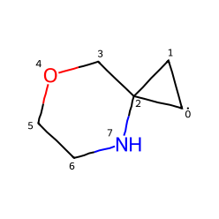 [CH]1CC12COCCN2